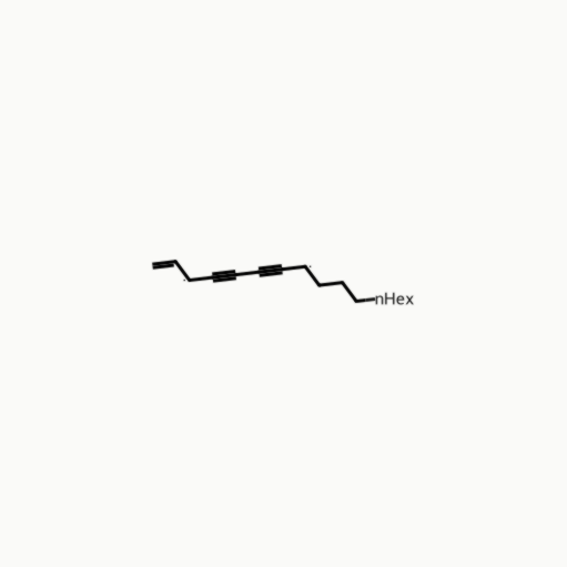 C=C[CH]C#CC#C[CH]CCCCCCCCC